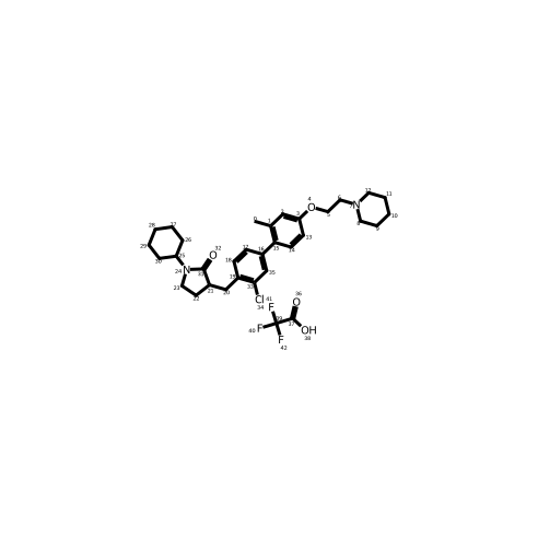 Cc1cc(OCCN2CCCCC2)ccc1-c1ccc(CC2CCN(C3CCCCC3)C2=O)c(Cl)c1.O=C(O)C(F)(F)F